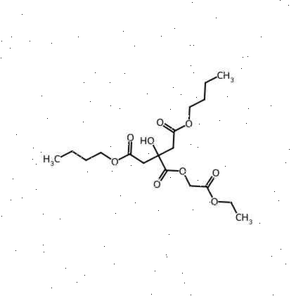 CCCCOC(=O)CC(O)(CC(=O)OCCCC)C(=O)OCC(=O)OCC